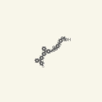 C=C(OO)Oc1ccc(C(C)(C)c2ccc(OC(=O)OCCc3ccc(N(c4ccccc4)c4ccc(-c5ccc(N(c6ccccc6)c6ccc(C)cc6)cc5)cc4)cc3)cc2)cc1